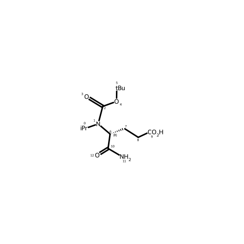 CC(C)N(C(=O)OC(C)(C)C)[C@H](CCC(=O)O)C(N)=O